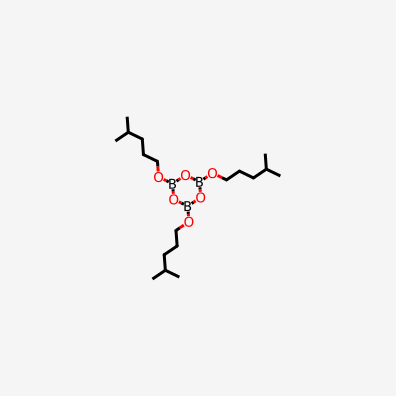 CC(C)CCCOB1OB(OCCCC(C)C)OB(OCCCC(C)C)O1